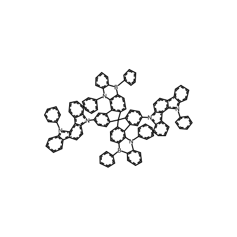 c1ccc(B2c3ccccc3N(c3ccccc3)c3c2ccc2c3-c3cc(-n4c5ccccc5c5c4ccc4c6ccccc6n(-c6ccccc6)c45)ccc3C23c2ccc(-n4c5ccccc5c5c4ccc4c6ccccc6n(-c6ccccc6)c45)cc2-c2c3ccc3c2N(c2ccccc2)c2ccccc2B3c2ccccc2)cc1